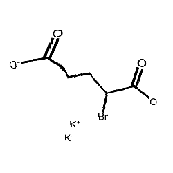 O=C([O-])CCC(Br)C(=O)[O-].[K+].[K+]